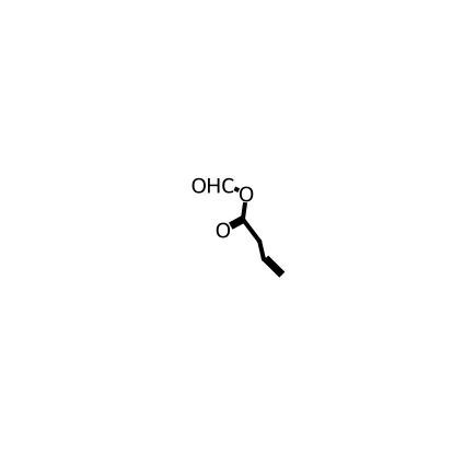 C=CCC(=O)OC=O